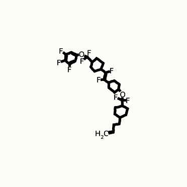 C=CCCC1CCC(C(F)(F)OC2CCC(/C(F)=C(\F)C3CCC(C(F)(F)Oc4cc(F)c(F)c(F)c4)CC3)CC2)CC1